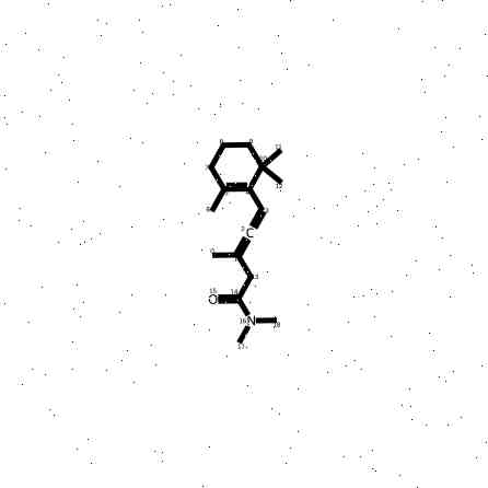 CC(=C=CC1=C(C)CCCC1(C)C)CC(=O)N(C)C